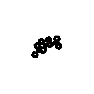 c1ccc(-c2ccccc2N(c2ccc(-n3c4ccccc4c4ccccc43)cc2)c2cccc3c2c2ccccc2n3-c2ccccc2)cc1